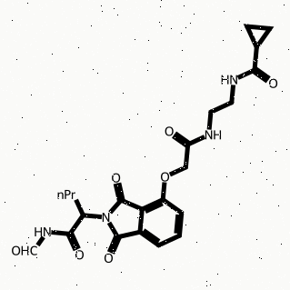 CCCC(C(=O)NC=O)N1C(=O)c2cccc(OCC(=O)NCCNC(=O)C3CC3)c2C1=O